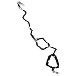 CCCCOCCCOCCN1CCN(Cc2ccc(C(C)CCC)cc2)CC1